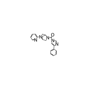 O=C(N1CC2CC1CN2c1ccccn1)n1cnc(-c2ccccc2)c1